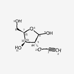 C#CO[C@H]1C(O)O[C@H](CO)[C@@H]1O